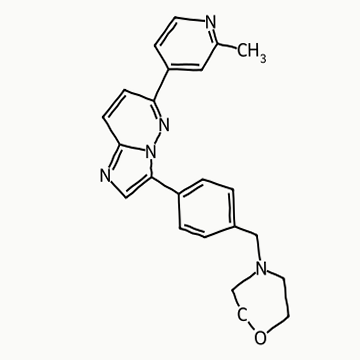 Cc1cc(-c2ccc3ncc(-c4ccc(CN5CCOCC5)cc4)n3n2)ccn1